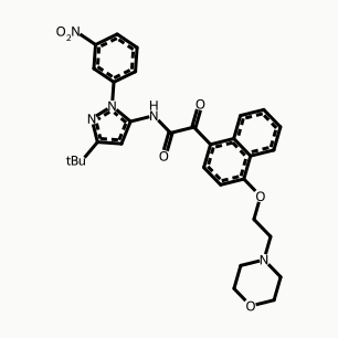 CC(C)(C)c1cc(NC(=O)C(=O)c2ccc(OCCN3CCOCC3)c3ccccc23)n(-c2cccc([N+](=O)[O-])c2)n1